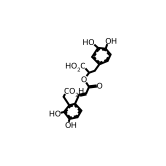 O=C(O)Cc1c(C=CC(=O)OC(Cc2ccc(O)c(O)c2)C(=O)O)ccc(O)c1O